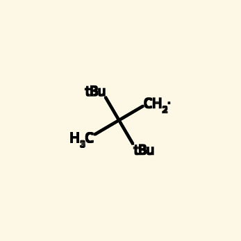 [CH2]C(C)(C(C)(C)C)C(C)(C)C